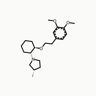 COc1ccc(CCO[C@@H]2CCCC[C@H]2N2CC[C@H](C)C2)cc1OC